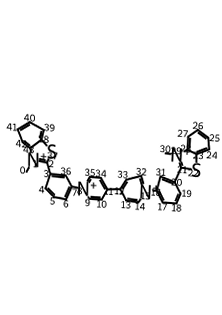 C[n+]1c(-c2cccc(-[n+]3ccc(-c4cc[n+](-c5cccc(-c6sc7ccccc7[n+]6C)c5)cc4)cc3)c2)sc2ccccc21